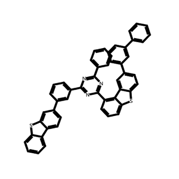 c1ccc(-c2cccc(-c3ccc4sc5cccc(-c6nc(-c7ccccc7)nc(-c7cccc(-c8ccc9c(c8)sc8ccccc89)c7)n6)c5c4c3)c2)cc1